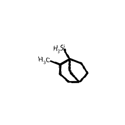 CC1CCC2CCC1([SiH3])CC2